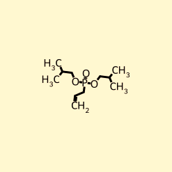 C=CCP(=O)(OCC(C)C)OCC(C)C